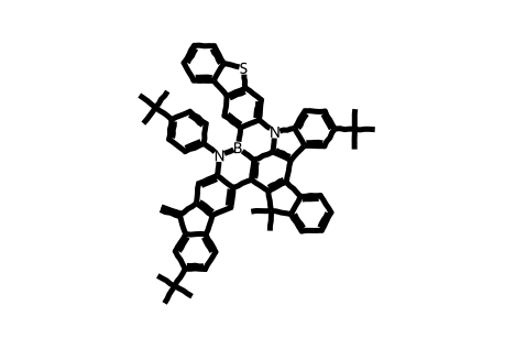 C=C1c2cc(C(C)(C)C)ccc2-c2cc3c(cc21)N(c1ccc(C(C)(C)C)cc1)B1c2cc4c(cc2-n2c5ccc(C(C)(C)C)cc5c5c6c(c-3c1c52)C(C)(C)c1ccccc1-6)sc1ccccc14